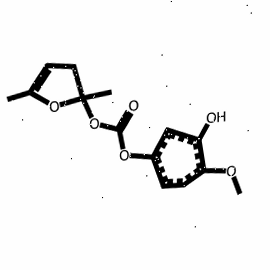 COc1ccc(OC(=O)OC2(C)CC=C(C)O2)cc1O